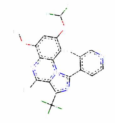 COc1cc(OC(F)F)cc2c1nc(C)c1c(C(F)(F)F)nc(-c3ccncc3C)n12